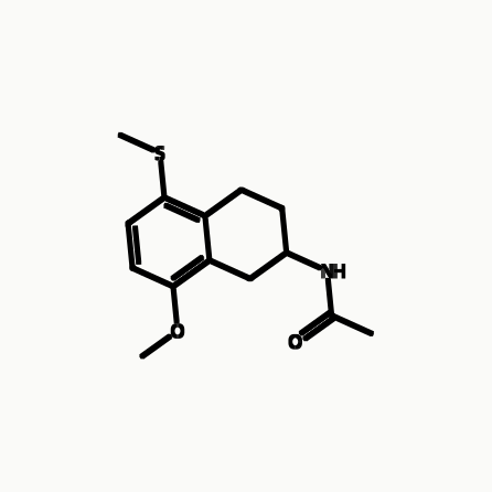 COc1ccc(SC)c2c1CC(NC(C)=O)CC2